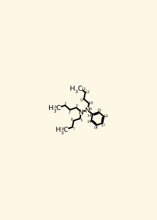 CCCCN(CCCC)N(CCCC)c1ccccc1